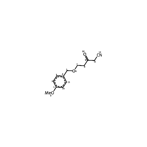 COc1ccc(COCCC(=O)CC#N)cc1